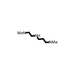 CNCCCNCCNC